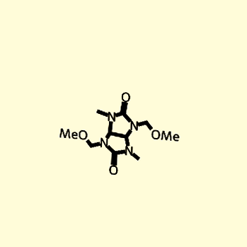 COCN1C(=O)N(C)C2C1N(C)C(=O)N2COC